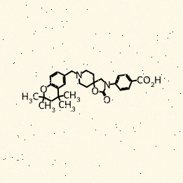 CC1(C)CC(C)(C)c2cc(CN3CCC4(CC3)CN(c3ccc(C(=O)O)cc3)C(=O)O4)ccc2O1